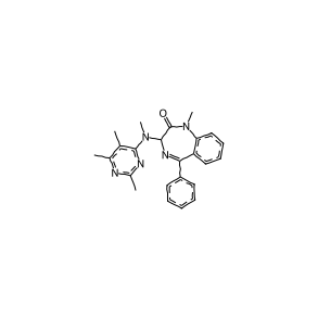 Cc1nc(C)c(C)c(N(C)C2N=C(c3ccccc3)c3ccccc3N(C)C2=O)n1